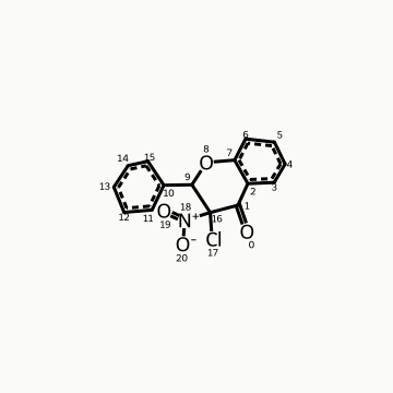 O=C1c2ccccc2OC(c2ccccc2)C1(Cl)[N+](=O)[O-]